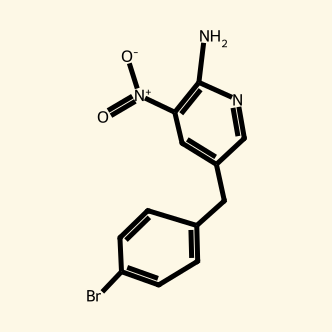 Nc1ncc(Cc2ccc(Br)cc2)cc1[N+](=O)[O-]